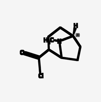 CN1C2CC[C@@H]1CCC2C(=O)Cl